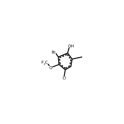 Cc1cc(Cl)c(OC(F)(F)F)c(Br)c1O